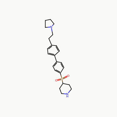 O=S(=O)(c1ccc(-c2ccc(CCN3CCCC3)cc2)cc1)C1CCNCC1